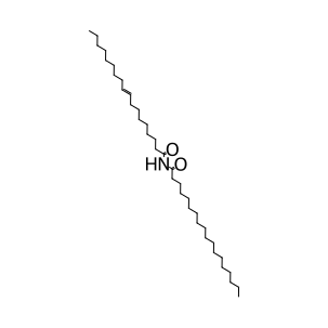 CCCCCCCCC=CCCCCCCCC(=O)NC(=O)CCCCCCCCCCCCCCCCC